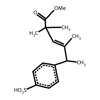 COC(=O)C(C)(C)C=C(C)C(C)c1ccc(S(=O)(=O)O)cc1